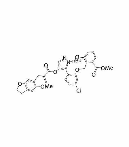 C=C(Cc1cc2c(cc1OC)CCO2)C(=O)Oc1cnn(CCCC)c1-c1ccc(Cl)cc1OCc1c(Cl)cccc1C(=O)OC